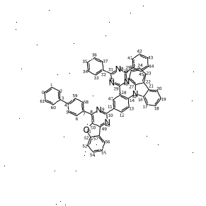 c1ccc(-c2ccc(-c3nc(-c4ccc(-n5c6ccccc6c6ccccc65)c(-c5nc(-c6ccccc6)nc(-c6ccccc6)n5)c4)nc4c3oc3ccccc34)cc2)cc1